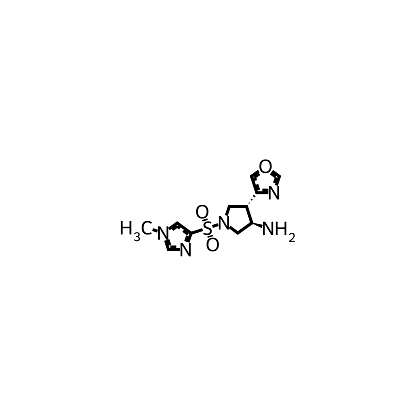 Cn1cnc(S(=O)(=O)N2C[C@H](c3cocn3)[C@@H](N)C2)c1